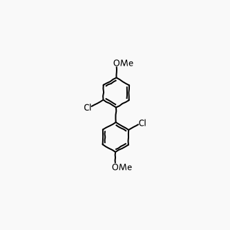 COc1ccc(-c2ccc(OC)cc2Cl)c(Cl)c1